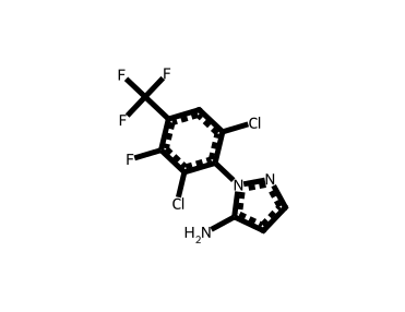 Nc1ccnn1-c1c(Cl)cc(C(F)(F)F)c(F)c1Cl